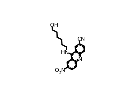 N#Cc1ccc2nc3ccc([N+](=O)[O-])cc3c(NCCCCCCO)c2c1